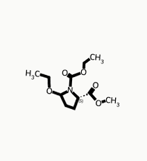 CCOC(=O)N1C(OCC)CC[C@H]1C(=O)OC